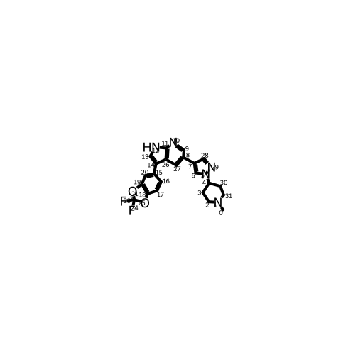 CN1CCC(n2cc(-c3cnc4[nH]cc(-c5ccc6c(c5)OC(F)(F)O6)c4c3)cn2)CC1